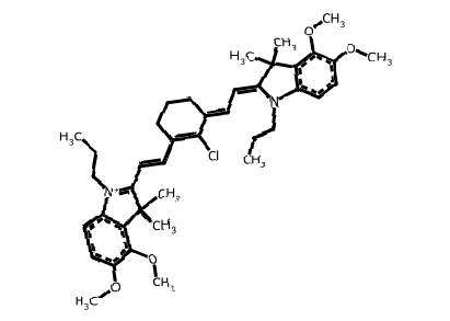 CCCN1/C(=C\C=C2/CCCC(/C=C/C3=[N+](CCC)c4ccc(OC)c(OC)c4C3(C)C)=C2Cl)C(C)(C)c2c1ccc(OC)c2OC